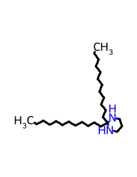 CCCCCCCCCCCCC1(CCCCCCCCCCCC)NCCCN1